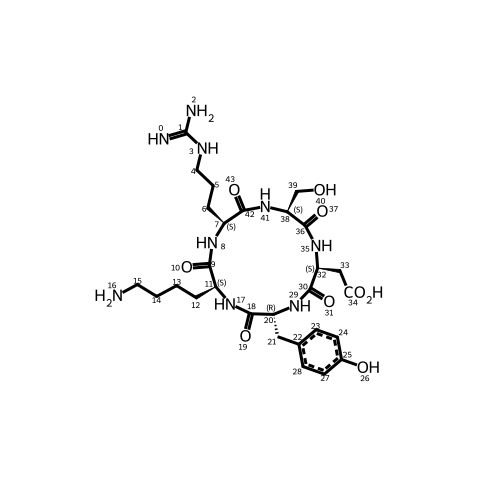 N=C(N)NCCC[C@@H]1NC(=O)[C@H](CCCCN)NC(=O)[C@@H](Cc2ccc(O)cc2)NC(=O)[C@H](CC(=O)O)NC(=O)[C@H](CO)NC1=O